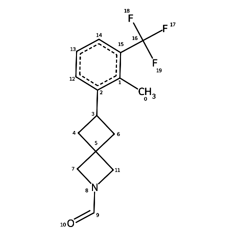 Cc1c(C2CC3(C2)CN(C=O)C3)cccc1C(F)(F)F